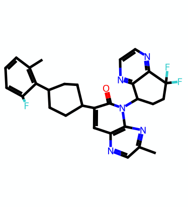 Cc1cnc2cc(C3CCC(c4c(C)cccc4F)CC3)c(=O)n(C3CCC(F)(F)c4nccnc43)c2n1